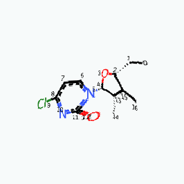 CC[C@H]1O[C@@H](n2ccc(Cl)nc2=O)[C@@H](C)C1C